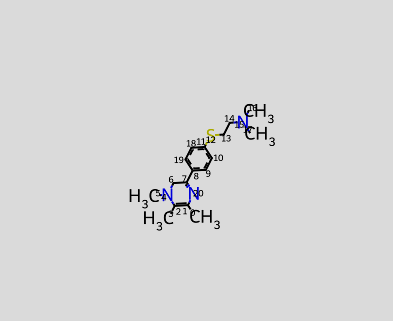 CC1=C(C)N(C)CC(c2ccc(SCCN(C)C)cc2)=N1